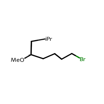 CO[C](CCCCBr)CC(C)C